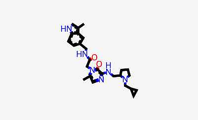 Cc1c[nH]c2ccc(CNC(=O)Cn3c(C)cnc(NCC4CCCN4CC4CC4)c3=O)cc12